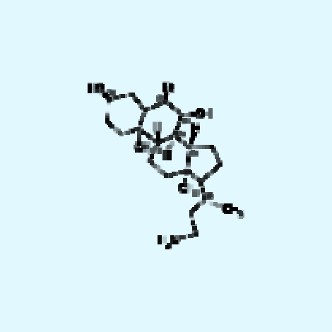 CC[C@@H]1C2C[C@H](O)CCC2(C)[C@H]2CCC3(C)C([C@H](C)CCN)CC[C@H]3[C@@H]2[C@@H]1O